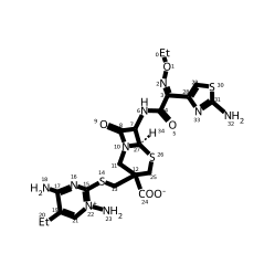 CCON=C(C(=O)NC1C(=O)N2CC(CSc3nc(N)c(CC)c[n+]3N)(C(=O)[O-])CS[C@H]12)c1csc(N)n1